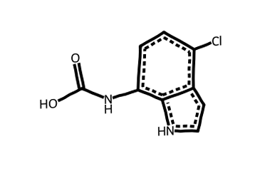 O=C(O)Nc1ccc(Cl)c2cc[nH]c12